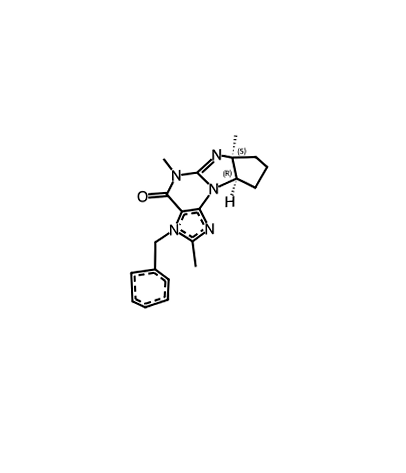 Cc1nc2c(n1Cc1ccccc1)C(=O)N(C)C1=N[C@@]3(C)CCC[C@H]3N12